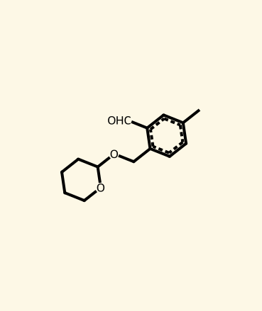 Cc1ccc(COC2CCCCO2)c(C=O)c1